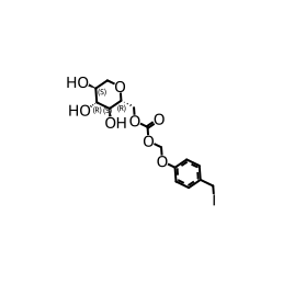 O=C(OCOc1ccc(CI)cc1)OC[C@H]1OC[C@H](O)[C@@H](O)[C@@H]1O